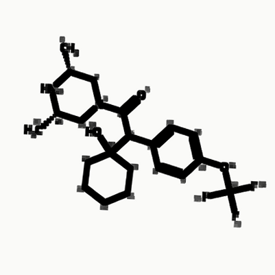 C[C@@H]1CN(C(=O)C(c2ccc(OC(F)(F)F)cc2)C2(O)CCCCC2)C[C@H](C)N1